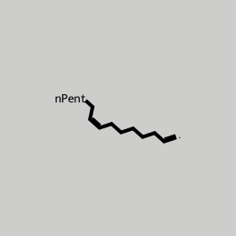 [CH]=CCCCCC/C=C\CCCCCC